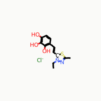 CCn1nc(C)s[c+]1C=Cc1ccc(O)c(O)c1O.[Cl-]